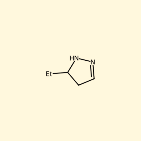 CCC1CC=NN1